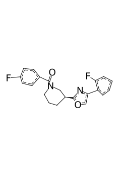 O=C(c1ccc(F)cc1)N1CCC[C@H](c2nc(-c3ccccc3F)co2)C1